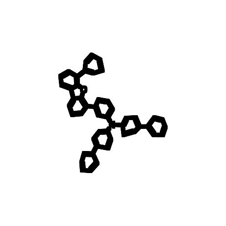 c1ccc(-c2ccc(N(c3ccc(-c4ccccc4)cc3)c3cccc(-c4cccc5c4oc4c(-c6ccccc6)cccc45)c3)cc2)cc1